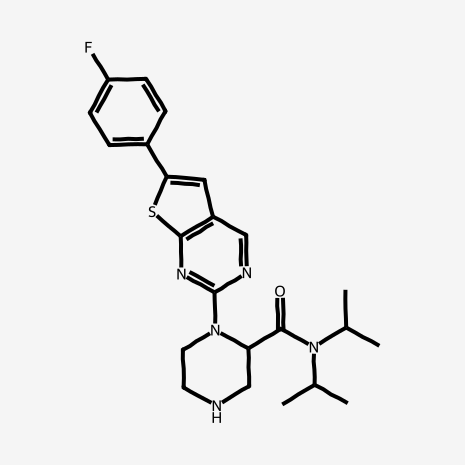 CC(C)N(C(=O)C1CNCCN1c1ncc2cc(-c3ccc(F)cc3)sc2n1)C(C)C